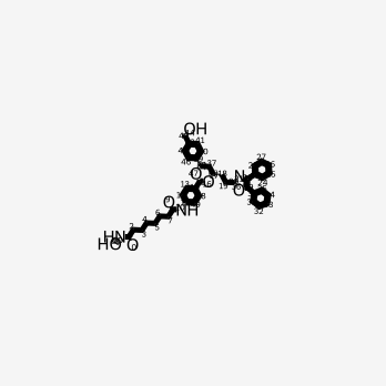 O=C(CCCCCCC(=O)Nc1ccc(C2O[C@@H](CCc3nc(-c4ccccc4)c(-c4ccccc4)o3)C[C@@H](c3ccc(CO)cc3)O2)cc1)NO